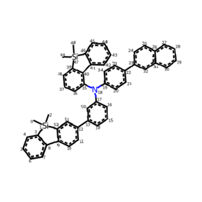 C[Si]1(C)c2ccccc2-c2ccc(-c3cccc(N(c4ccc(-c5ccc6ccccc6c5)cc4)c4cccc5c4-c4ccccc4[Si]5(C)C)c3)cc21